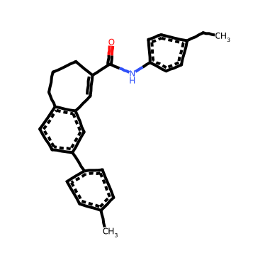 CCc1ccc(NC(=O)C2=Cc3cc(-c4ccc(C)cc4)ccc3CCC2)cc1